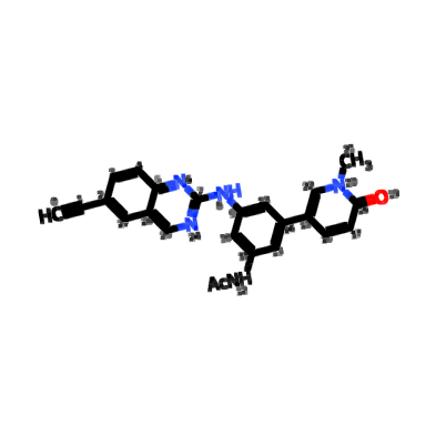 C#Cc1ccc2nc(Nc3cc(NC(C)=O)cc(-c4ccc(=O)n(C)c4)c3)ncc2c1